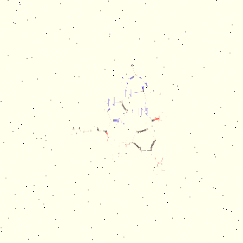 COC(=O)c1cnc(-n2nc(C)nc2[C@H](C)NC(=O)c2cc(OC(F)(F)F)cc(OC(F)(F)F)c2)cn1